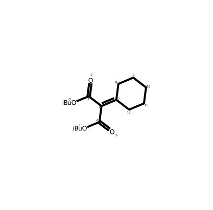 CC(C)COC(=O)C(C(=O)OCC(C)C)=C1CCCCC1